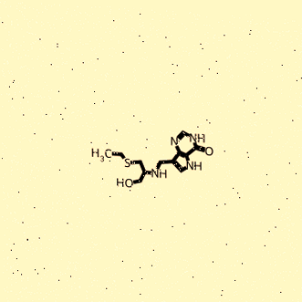 CCSCC(CO)NCc1c[nH]c2c(=O)[nH]cnc12